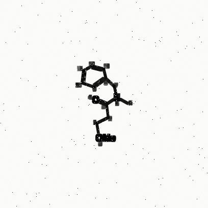 COCCC(=O)N(C)Cc1ccccc1